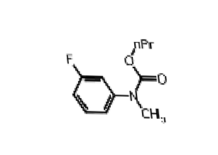 CCCOC(=O)N(C)c1cccc(F)c1